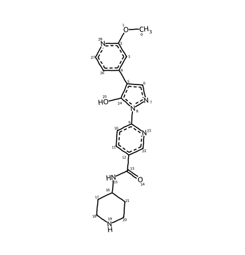 COc1cc(-c2cnn(-c3ccc(C(=O)NC4CCNCC4)cn3)c2O)ccn1